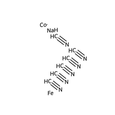 C#N.C#N.C#N.C#N.C#N.C#N.[Co].[Fe].[NaH]